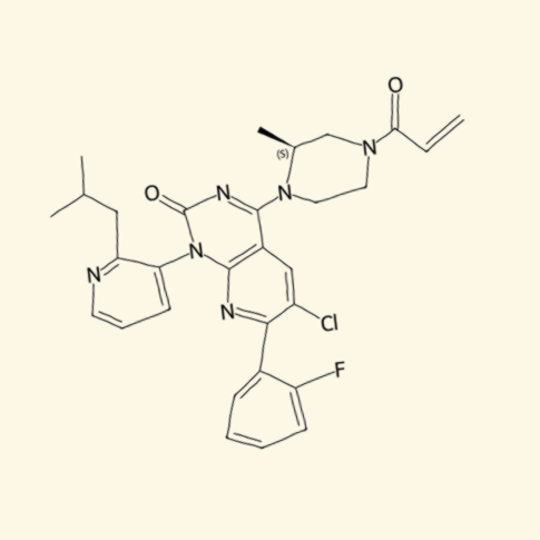 C=CC(=O)N1CCN(c2nc(=O)n(-c3cccnc3CC(C)C)c3nc(-c4ccccc4F)c(Cl)cc23)[C@@H](C)C1